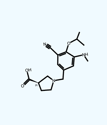 CNc1cc(CN2CC[C@@H](C(=O)O)C2)cc(C#N)c1OC(C)C